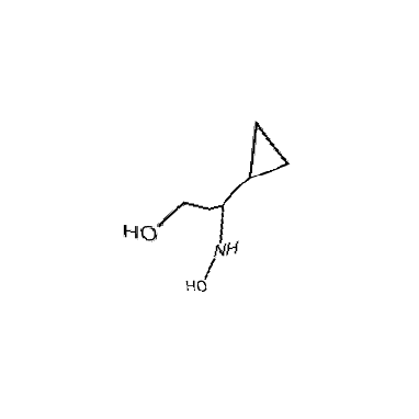 OCC(NO)C1CC1